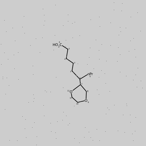 CCCC(CCCCC(=O)O)C1COCCO1